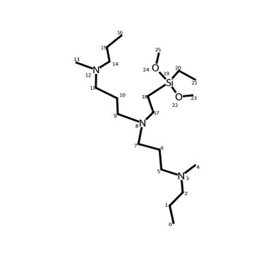 CCCN(C)CCCN(CCCN(C)CCC)CC[Si](CC)(OC)OC